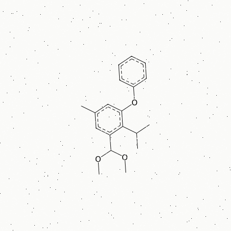 COC(OC)c1cc(C)cc(Oc2ccccc2)c1C(C)C